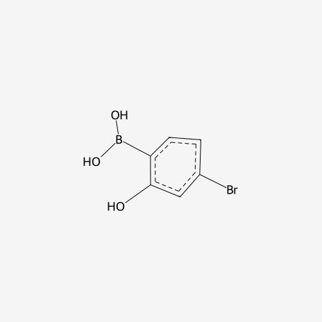 OB(O)c1ccc(Br)cc1O